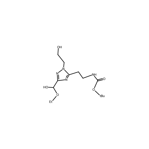 CCOC(O)c1nc(CCNC(=O)OC(C)(C)C)n(CCO)n1